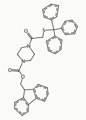 O=C(CSC(c1ccccc1)(c1ccccc1)c1ccccc1)N1CCN(C(=O)OCC2c3ccccc3-c3ccccc32)CC1